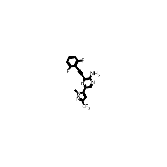 Cn1nc(C(F)(F)F)cc1-c1cnc(N)c(C#Cc2c(F)cccc2F)n1